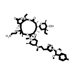 CC[C@H]1OC(=O)[C@H](C)C([C@H]2C[C@@](C)(CC)[C@@H](O)[C@H](C)O2)[C@H](C)[C@@H](O[C@H]2C[C@@H](N(C)CCc3cn([C@H](CF)[C@H](OC)c4ccc(I)cc4)nn3)C[C@@H](C)O2)[C@](C)(OC)C[C@@H](C)C(C)(NCCN)[C@H](C)[C@H]2CC(=O)O[C@@]21C